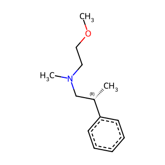 COCCN(C)C[C@H](C)c1ccccc1